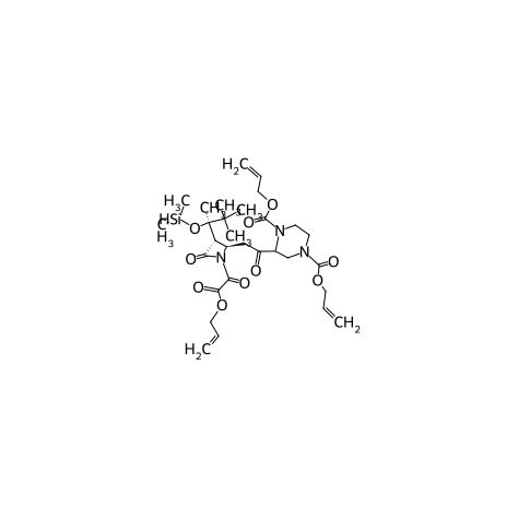 C=CCOC(=O)C(=O)N1C(=O)[C@H]([C@@](C)(O[SiH](C)C)C(C)(C)C)[C@H]1CC(=O)C1CN(C(=O)OCC=C)CCN1C(=O)OCC=C